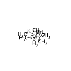 BC(B)(C(C)C)C(C)(CC)CC